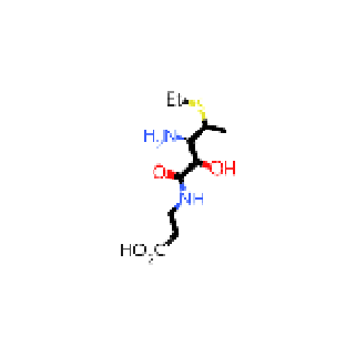 CCSC(C)[C@H](N)C(O)C(=O)NCCC(=O)O